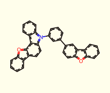 c1cc(-c2ccc3oc4ccccc4c3c2)cc(-n2c3ccccc3c3c4oc5ccccc5c4ccc32)c1